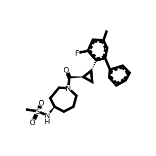 Cc1cc(F)c([C@@H]2C[C@H]2C(=O)N2CCC[C@@H](NS(C)(=O)=O)CC2)c(-c2ccccc2)c1